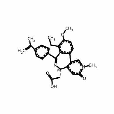 C=C(C)c1ccc(C2=N[C@@H](CC(=O)O)c3cc(=O)n(C)cc3-c3ccc(OC)c(CC)c32)cc1